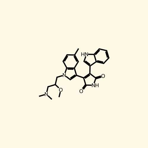 COC(CN(C)C)Cn1cc(C2=C(c3c[nH]c4ccccc34)C(=O)NC2=O)c2cc(C)ccc21